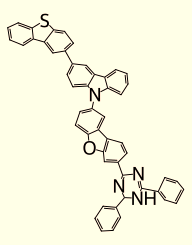 c1ccc(C2=NC(c3ccc4c(c3)oc3ccc(-n5c6ccccc6c6cc(-c7ccc8sc9ccccc9c8c7)ccc65)cc34)=NC(c3ccccc3)N2)cc1